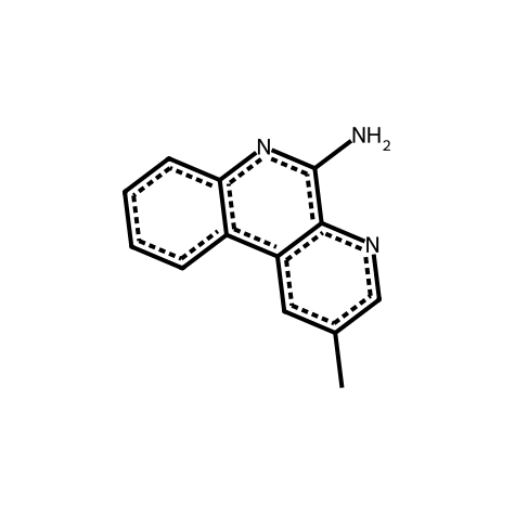 Cc1cnc2c(N)nc3ccccc3c2c1